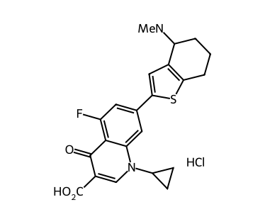 CNC1CCCc2sc(-c3cc(F)c4c(=O)c(C(=O)O)cn(C5CC5)c4c3)cc21.Cl